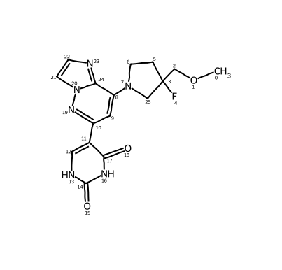 COCC1(F)CCN(c2cc(-c3c[nH]c(=O)[nH]c3=O)nn3ccnc23)C1